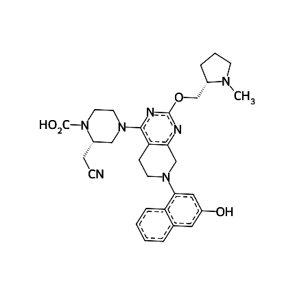 CN1CCC[C@H]1COc1nc2c(c(N3CCN(C(=O)O)[C@@H](CC#N)C3)n1)CCN(c1cc(O)cc3ccccc13)C2